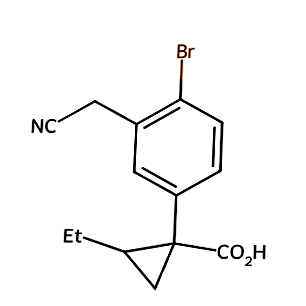 CCC1CC1(C(=O)O)c1ccc(Br)c(CC#N)c1